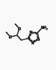 COC(Cc1nsc(N)n1)OC